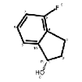 O[C@H]1CCc2c(F)cccc21